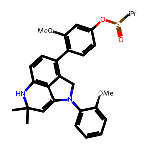 COc1cc(OS(=O)C(C)C)ccc1-c1ccc2c3c1CN(c1ccccc1OC)C3=CC(C)(C)N2